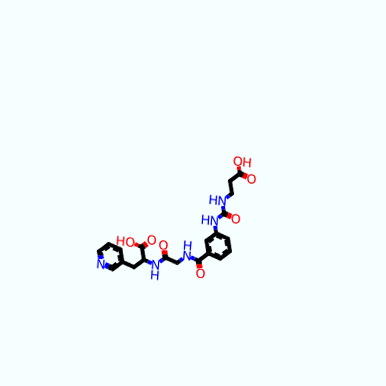 O=C(O)CCNC(=O)Nc1cccc(C(=O)NCC(=O)NC(Cc2cccnc2)C(=O)O)c1